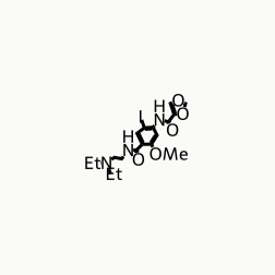 CCN(CC)CCNC(=O)c1cc(I)c(NC(=O)C2=COCO2)cc1OC